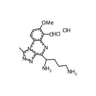 COc1ccc2c(nc(C(N)CCCN)c3nnc(C)n32)c1Cl.Cl.Cl